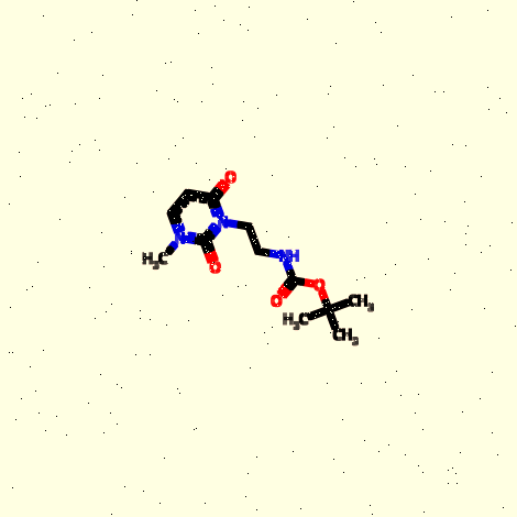 Cn1ccc(=O)n(CCNC(=O)OC(C)(C)C)c1=O